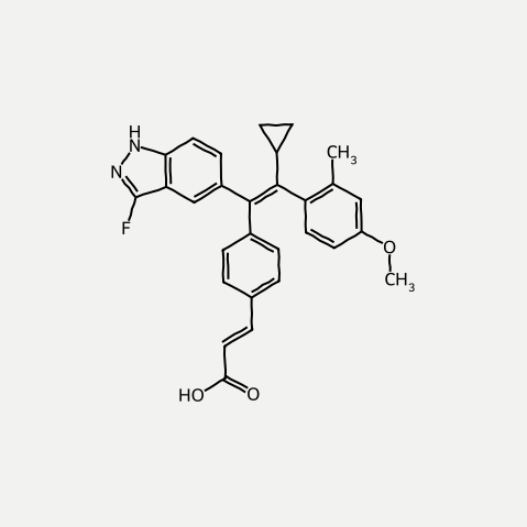 COc1ccc(/C(=C(\c2ccc(/C=C/C(=O)O)cc2)c2ccc3[nH]nc(F)c3c2)C2CC2)c(C)c1